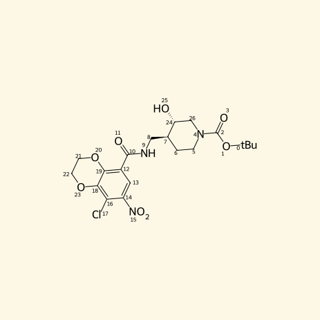 CC(C)(C)OC(=O)N1CC[C@@H](CNC(=O)c2cc([N+](=O)[O-])c(Cl)c3c2OCCO3)[C@H](O)C1